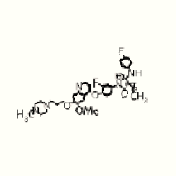 COc1cc2c(Oc3ccc(NC(=O)[C@]4(C(=O)Nc5ccc(F)cc5)C[C@H]4C)cc3F)ccnc2cc1OCCCN1CCN(C)CC1